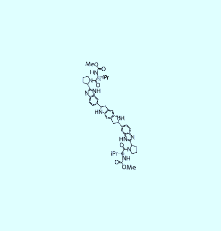 COC(=O)N[C@H](C(=O)N1CCCC1c1nc2ccc(C3Cc4cc5c(cc4N3)CC(c3ccc4nc(C6CCCN6C(=O)[C@H](NC(=O)OC)C(C)C)[nH]c4c3)N5)cc2[nH]1)C(C)C